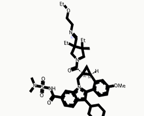 CCOCC/N=C/C1(CC)CN(C(=O)[C@]23C[C@H]2c2cc(OC)ccc2-c2c(C4CCCCC4)c4ccc(C(=O)NS(=O)(=O)N(C)C)cc4n2C3)CC1(C)CC